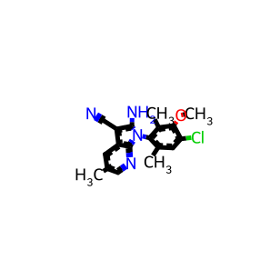 COc1c(Cl)cc(C)c(-n2c(N)c(C#N)c3cc(C)cnc32)c1C